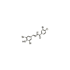 O=C(NN=Cc1cc(Br)c(O)c(Br)c1)c1ccc(Cl)c(Br)c1